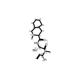 C=C[C@H](C(C)C)N(C)C(=O)[C@@H](NC(=O)C1CC2CCCCC2CN1C)C(C)(C)C